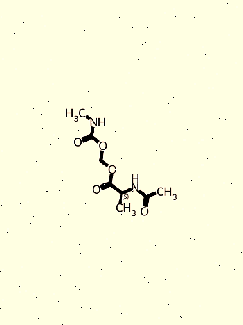 CNC(=O)OCOC(=O)[C@H](C)NC(C)=O